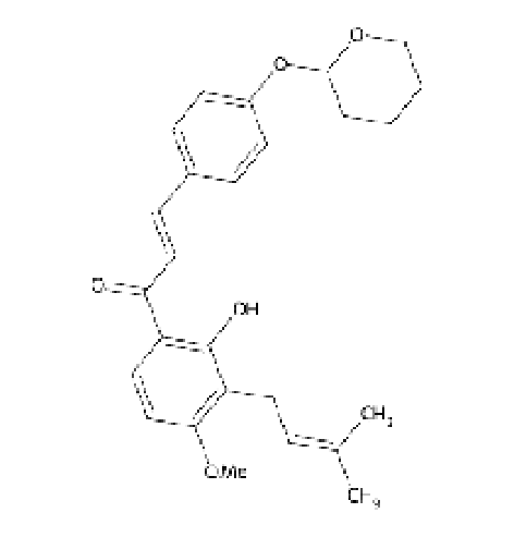 COc1ccc(C(=O)C=Cc2ccc(OC3CCCCO3)cc2)c(O)c1CC=C(C)C